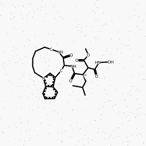 COC(=O)C(C(=O)NO)[C@@H](CC(C)C)C(=O)NC1Cc2cn(c3ccccc23)CCCCCCNC1=O